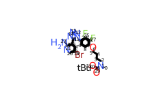 CN(CCCCOc1ccc(-n2nnnc2-c2cc(Br)cnc2N)c(F)c1F)C(=O)OC(C)(C)C